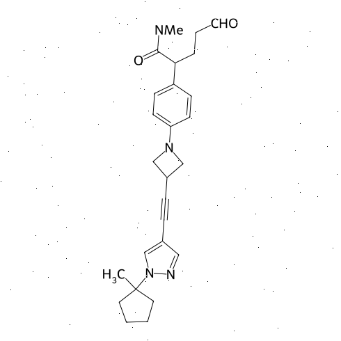 CNC(=O)C(CCC=O)c1ccc(N2CC(C#Cc3cnn(C4(C)CCCC4)c3)C2)cc1